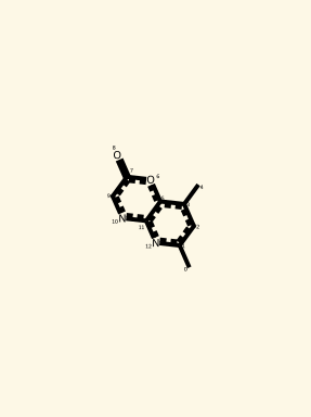 Cc1cc(C)c2oc(=O)cnc2n1